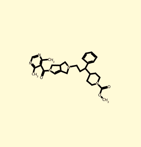 COC(=O)N1CCC(C(CCN2CC3=CN(C(=O)c4c(C)ncnc4C)CC3C2)c2ccccc2)CC1